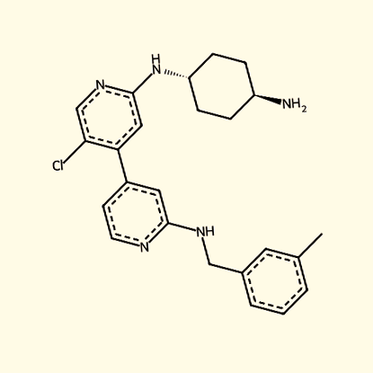 Cc1cccc(CNc2cc(-c3cc(N[C@H]4CC[C@H](N)CC4)ncc3Cl)ccn2)c1